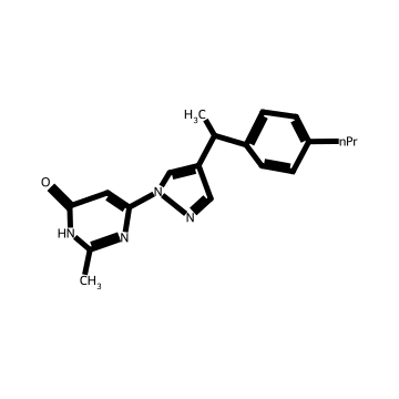 CCCc1ccc(C(C)c2cnn(-c3cc(=O)[nH]c(C)n3)c2)cc1